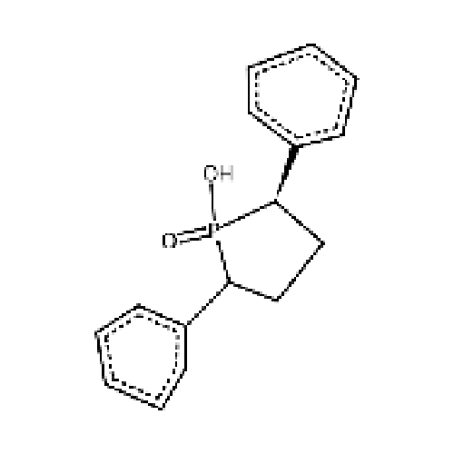 O=P1(O)C(c2ccccc2)CC[C@@H]1c1ccccc1